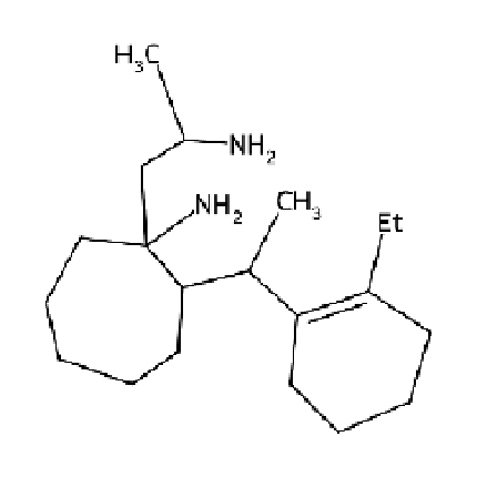 CCC1=C(C(C)C2CCCCCC2(N)CC(C)N)CCCC1